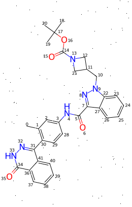 Cc1cc(NC(=O)c2nn(CC3CN(C(=O)OC(C)(C)C)C3)c3ccccc23)ccc1-c1n[nH]c(=O)c2ccccc12